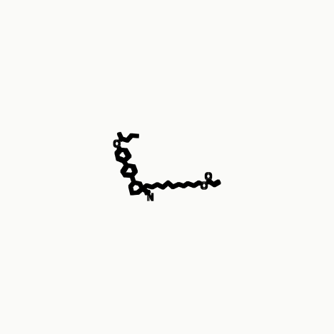 C=CC(=O)OCCCCCCCCCCCC1(C#N)CCCC(c2ccc(-c3ccc(OC(C)CCC)cc3)cc2)C1